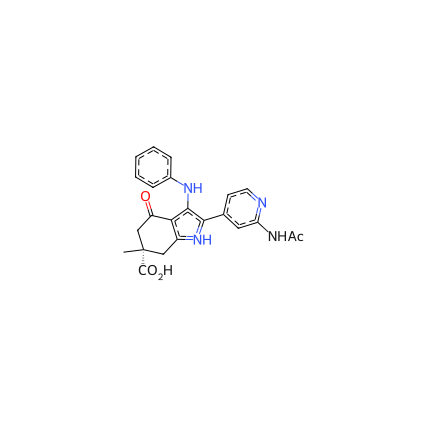 CC(=O)Nc1cc(-c2[nH]c3c(c2Nc2ccccc2)C(=O)C[C@@](C)(C(=O)O)C3)ccn1